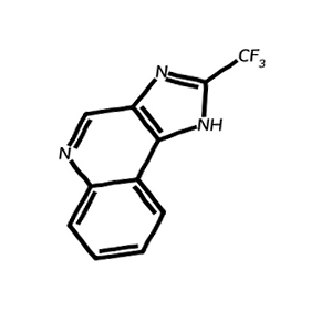 FC(F)(F)c1nc2cnc3ccccc3c2[nH]1